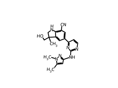 Cc1cc(Nc2nccc(-c3cc(C#N)c4c(c3)C(C)(CO)CN4)n2)nn1C